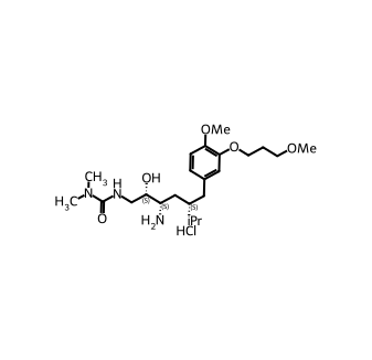 COCCCOc1cc(C[C@@H](C[C@H](N)[C@@H](O)CNC(=O)N(C)C)C(C)C)ccc1OC.Cl